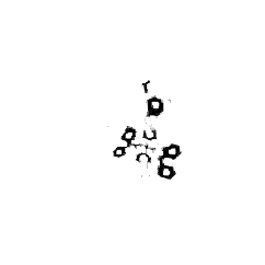 COc1ccc(CN2CCC(N(c3nc(-c4ccccc4F)c4ccccc4n3)N(c3nc(-c4ccccc4F)c4ccccc4n3)C3CCNCC3)CC2)cc1OCC(C)C.Cl.Cl